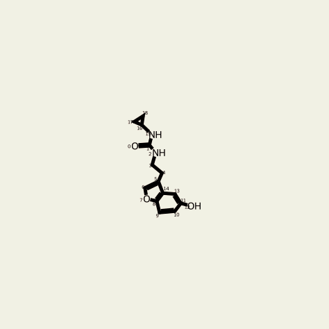 O=C(NCCc1coc2ccc(O)cc12)NC1CC1